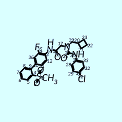 CS(=O)(=O)c1ccccc1-c1ccc(NC(=O)CN(CC2CCC2)C(=O)Nc2ccc(Cl)cc2)c(F)c1